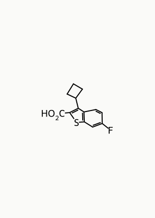 O=C(O)c1sc2cc(F)ccc2c1C1CCC1